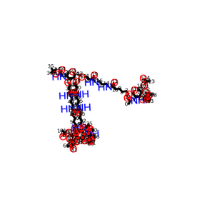 CC(=O)N[C@H]1[C@H](OCCCCC(=O)NCCCNC(=O)/C=C/OC[C@H]2OC[C@H](NC(=O)OC(C)(C)C)[C@@H](O/C=C/C(=O)NCCCNC(=O)CCCCO[C@@H]3O[C@H](COC(C)=O)[C@H](OC(C)=O)[C@H](OC(C)=O)[C@H]3NC(C)=O)[C@@H]2O/C=C/C(=O)NCCCNC(=O)CCCCO[C@@H]2O[C@H](COC(C)=O)[C@H](OC(C)=O)[C@H](OC(C)=O)[C@H]2NC(C)=O)O[C@H](COC(C)=O)[C@H](OC(C)=O)[C@@H]1OC(C)=O